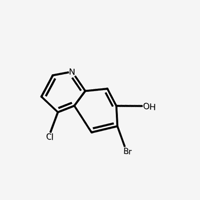 Oc1cc2nccc(Cl)c2cc1Br